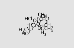 CNC(CO)Cc1ccc(OC(=O)CC(C)(C)C)c(OC(=O)CC(C)(C)C)c1.Cl